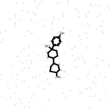 CCCCC1CCC(C2CCC(C#N)(c3ccc(CCC)cc3)CC2)CC1